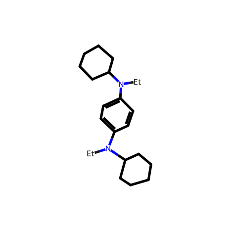 CCN(c1ccc(N(CC)C2CCCCC2)cc1)C1CCCCC1